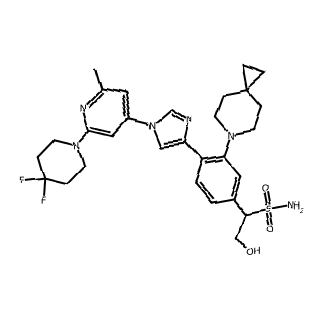 Cc1cc(-n2cnc(-c3ccc(C(CO)S(N)(=O)=O)cc3N3CCC4(CC3)CC4)c2)cc(N2CCC(F)(F)CC2)n1